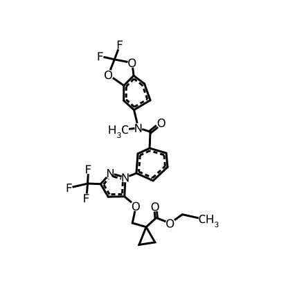 CCOC(=O)C1(COc2cc(C(F)(F)F)nn2-c2cccc(C(=O)N(C)c3ccc4c(c3)OC(F)(F)O4)c2)CC1